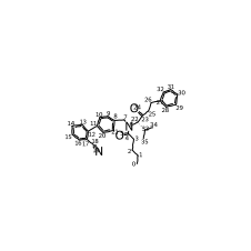 CCCCC(=O)N(Cc1ccc(-c2ccccc2C#N)cc1)[C@H](C(=O)CCc1ccccc1)C(C)C